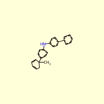 CC1(c2ccc(Nc3ccc(-c4ccccc4)cc3)cc2)C=CC=CC1